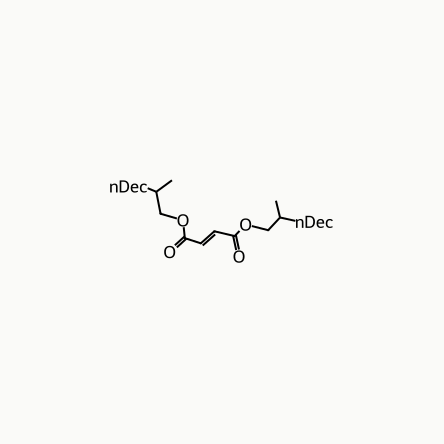 CCCCCCCCCCC(C)COC(=O)C=CC(=O)OCC(C)CCCCCCCCCC